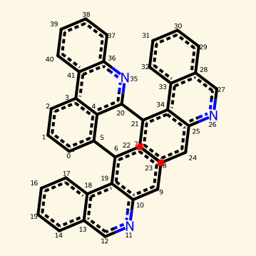 [c]1ccc2c(c1-c1cccc3ncc4ccccc4c13)c(-c1cccc3ncc4ccccc4c13)nc1ccccc12